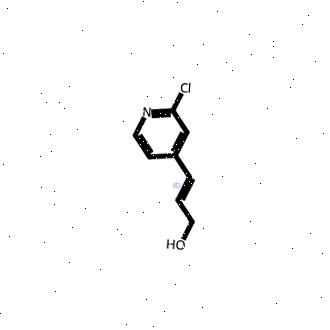 OC/C=C/c1ccnc(Cl)c1